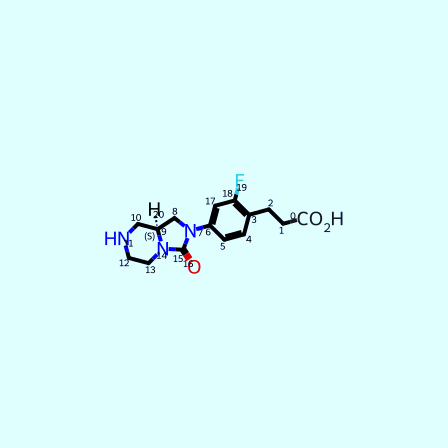 O=C(O)CCc1ccc(N2C[C@@H]3CNCCN3C2=O)cc1F